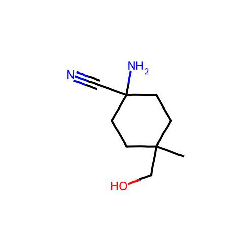 CC1(CO)CCC(N)(C#N)CC1